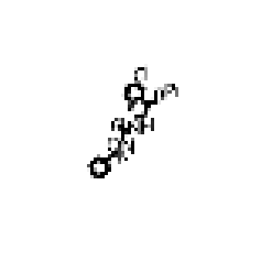 CCC/C=C(/CCNC(=O)c1nnc(-c2ccccc2)o1)c1cc(Cl)ccc1C